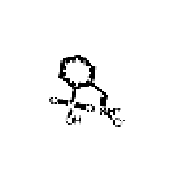 O=S(=O)(O)c1ccccc1C=[NH+][O-]